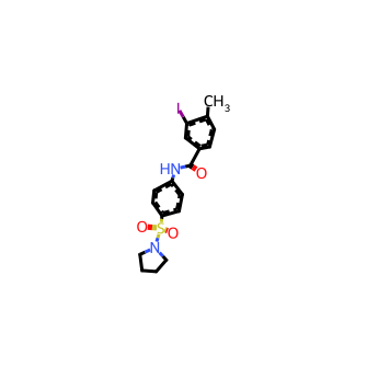 Cc1ccc(C(=O)Nc2ccc(S(=O)(=O)N3CCCC3)cc2)cc1I